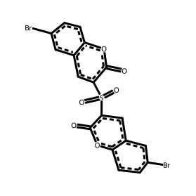 O=c1oc2ccc(Br)cc2cc1S(=O)(=O)c1cc2cc(Br)ccc2oc1=O